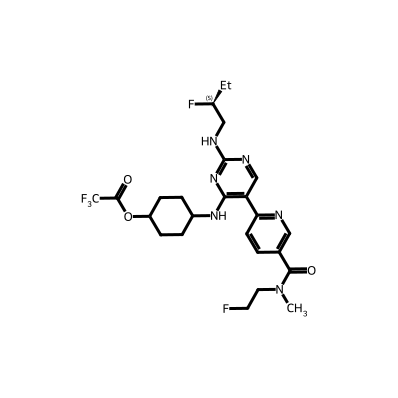 CC[C@H](F)CNc1ncc(-c2ccc(C(=O)N(C)CCF)cn2)c(NC2CCC(OC(=O)C(F)(F)F)CC2)n1